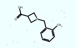 Cc1ccccc1CN1CC(C(=O)O)C1